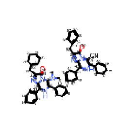 CN(C)c1c(-c2ccccc2)[nH]c(-c2ccccc2)c2nc(Cc3ccccc3)c(=O)n1-2.N#Cc1c(-c2ccccc2)[nH]c(-c2ccccc2)c2nc(Cc3ccccc3)c(=O)n1-2